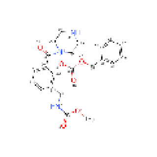 CC(C)(C)OC(=O)NCc1cccc(C(=O)[N+]2(OC(=O)OCc3ccccc3)CCNCC2)c1